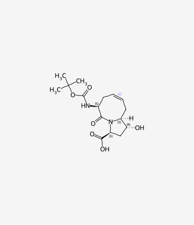 CC(C)(C)OC(=O)N[C@H]1C/C=C\C[C@H]2[C@H](O)C[C@@H](C(=O)O)N2C1=O